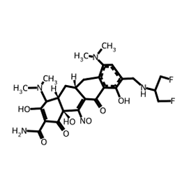 CN(C)c1cc(CNC(CF)CF)c(O)c2c1C[C@H]1C[C@H]3C(N(C)C)C(O)=C(C(N)=O)C(=O)[C@@]3(O)C(N=O)=C1C2=O